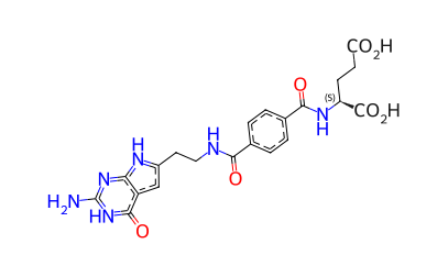 Nc1nc2[nH]c(CCNC(=O)c3ccc(C(=O)N[C@@H](CCC(=O)O)C(=O)O)cc3)cc2c(=O)[nH]1